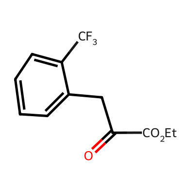 CCOC(=O)C(=O)Cc1ccccc1C(F)(F)F